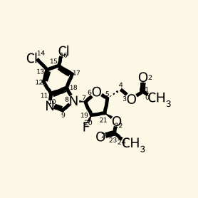 CC(=O)OC[C@H]1O[C@@H](n2cnc3cc(Cl)c(Cl)cc32)[C@H](F)[C@@H]1OC(C)=O